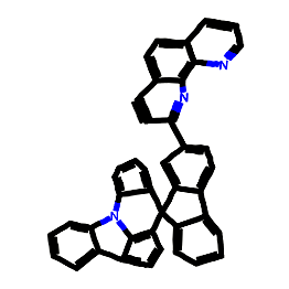 c1c(-c2ccc3c(c2)C2(c4ccccc4-3)c3ccccc3-n3c4ccccc4c4cccc2c43)nc2c(c#1)ccc1cccnc12